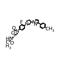 CC(=O)NC[C@H]1CN(c2ccc(N3CCC(n4ccc(-c5ccc(C)cc5)n4)C3)c(F)c2)C(=O)O1